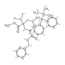 COC(=O)C1(C(F)F)CC(O[Si](c2ccccc2)(c2ccccc2)C(C)(C)C)CN(C(=O)OCc2ccccc2)C1